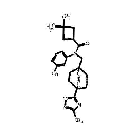 CC1(O)CC(C(=O)N(CC23CCC(c4nc(C(C)(C)C)no4)(CC2)CC3)c2cccc(C#N)c2)C1